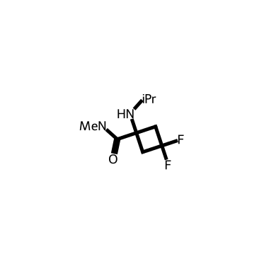 CNC(=O)C1(NC(C)C)CC(F)(F)C1